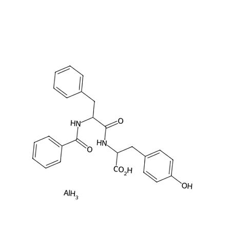 O=C(NC(Cc1ccccc1)C(=O)NC(Cc1ccc(O)cc1)C(=O)O)c1ccccc1.[AlH3]